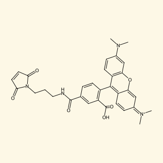 CN(C)c1ccc2c(-c3ccc(C(=O)NCCCN4C(=O)C=CC4=O)cc3C(=O)O)c3ccc(=[N+](C)C)cc-3oc2c1